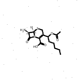 CCCCCC(OC(C)=O)C1=C(C(=O)O)N2C(=O)[C@@H](N)[C@H]2SC1